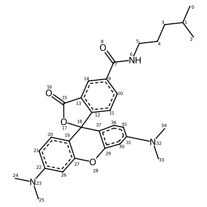 CC(C)CCCNC(=O)c1ccc2c(c1)C(=O)OC21c2ccc(N(C)C)cc2Oc2cc(N(C)C)ccc21